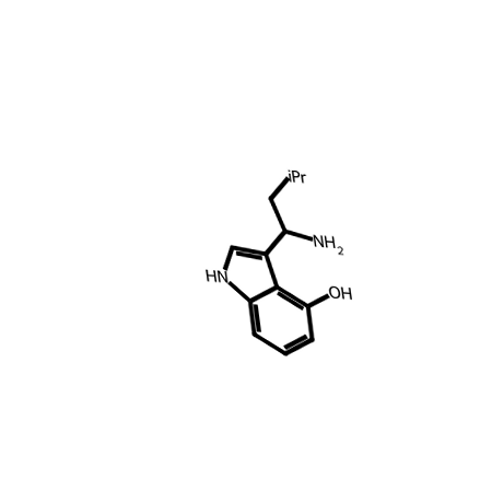 CC(C)CC(N)c1c[nH]c2cccc(O)c12